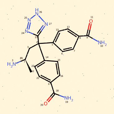 C[C@@H](N)CC(c1ccc(C(N)=O)cc1)(c1ccc(C(N)=O)cc1)c1nn[nH]n1